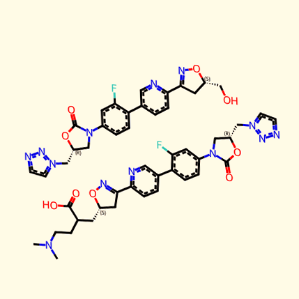 CN(C)CCC(C[C@H]1CC(c2ccc(-c3ccc(N4C[C@H](Cn5ccnn5)OC4=O)cc3F)cn2)=NO1)C(=O)O.O=C1O[C@@H](Cn2ccnn2)CN1c1ccc(-c2ccc(C3=NO[C@H](CO)C3)nc2)c(F)c1